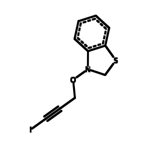 IC#CCON1CSc2ccccc21